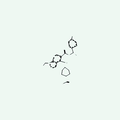 CCn1ncc2c(N[C@H]3CC[C@@H](C(N)=O)CC3)c(C(=O)N[C@H](C)c3ccc(C)cc3)cnc21